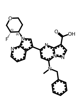 CN(Cc1ccccc1)c1cc(-c2cn([C@@H]3CCOC[C@H]3F)c3ncccc23)nc2c(C(=O)O)cnn12